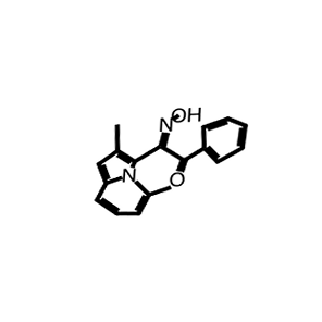 Cc1cc2cccc(C)n2c1/C(=N/O)C(=O)c1ccccc1